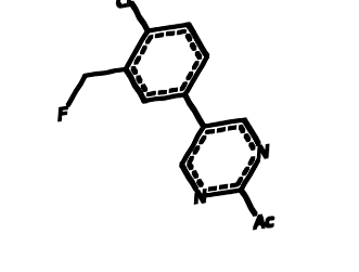 CC(=O)c1ncc(-c2ccc(Cl)c(CF)c2)cn1